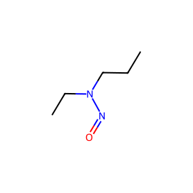 CCCN(CC)N=O